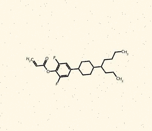 C=CC(=O)Oc1c(F)cc(C2CCC(C(CCC)CCCC)CC2)cc1F